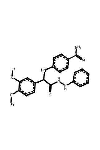 CCOc1cc(C(Nc2ccc(C(=N)N)cc2)C(=O)NNc2ccccc2)ccc1OC(C)C